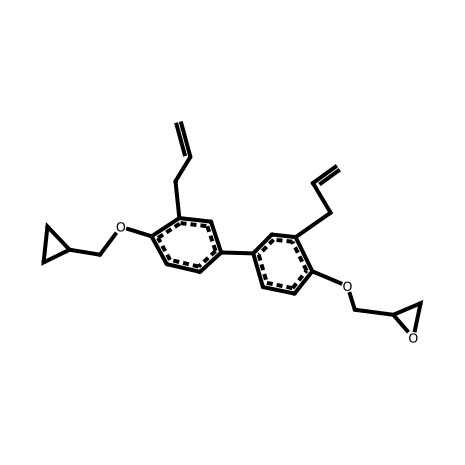 C=CCc1cc(-c2ccc(OCC3CO3)c(CC=C)c2)ccc1OCC1CC1